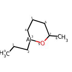 CC[CH2][Al]1[CH2]CCC(C)[O]1